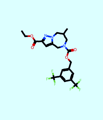 CCOC(=O)c1cc2n(n1)CC(C)CN(C(=O)OCc1cc(C(F)(F)F)cc(C(F)(F)F)c1)C2